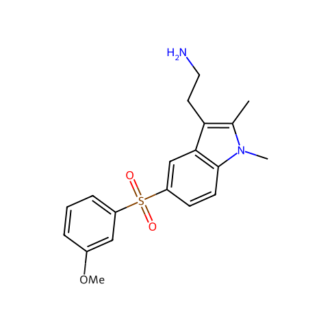 COc1cccc(S(=O)(=O)c2ccc3c(c2)c(CCN)c(C)n3C)c1